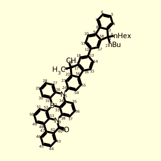 CCCCCCC1(CCCC)c2ccccc2-c2ccc(-c3ccc4c(c3)C(C)(C)c3cc(N5c6ccccc6B6c7c5cccc7-n5c(=O)c7ccccc7c7cccc6c75)ccc3-4)cc21